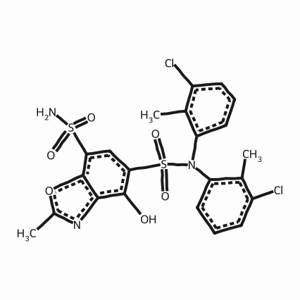 Cc1nc2c(O)c(S(=O)(=O)N(c3cccc(Cl)c3C)c3cccc(Cl)c3C)cc(S(N)(=O)=O)c2o1